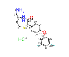 Cl.NC[C@@H]1CCS[C@H](c2ccc(Oc3cc(F)cc(F)c3)cc2)C(=O)N1